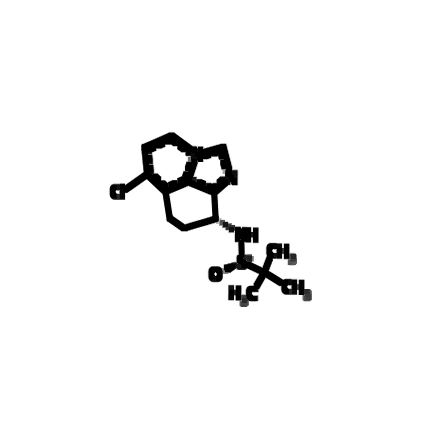 CC(C)(C)[S@@+]([O-])N[C@@H]1CCc2c(Cl)ccn3cnc1c23